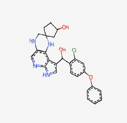 OC1CCC2(CNc3cnc4[nH]cc(C(O)c5ccc(Oc6ccccc6)cc5Cl)c4c3N2)C1